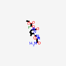 CCOC(=O)C(F)ON1C(=O)N2CC1C=C(C)[C@H]2c1nnc(C(N)=O)o1